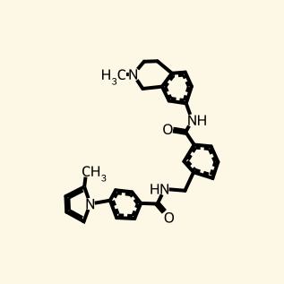 CC1=C=C=CN1c1ccc(C(=O)NCc2cccc(C(=O)Nc3ccc4c(c3)CN(C)CC4)c2)cc1